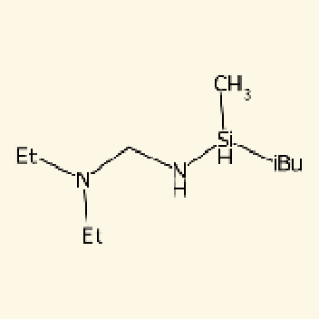 CCC(C)[SiH](C)NCN(CC)CC